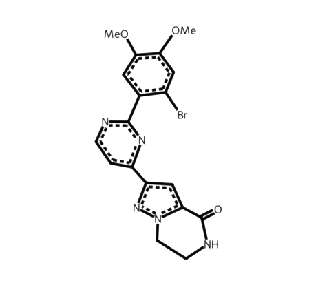 COc1cc(Br)c(-c2nccc(-c3cc4n(n3)CCNC4=O)n2)cc1OC